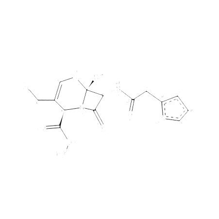 BOC(=O)[C@H]1C(CCl)=CS[C@@H]2[C@H](NC(=O)Cc3cccs3)C(=O)N12